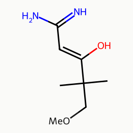 COCC(C)(C)/C(O)=C/C(=N)N